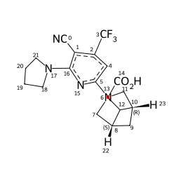 N#Cc1c(C(F)(F)F)cc(N2C[C@H]3C[C@@H](C2)C3CC(=O)O)nc1N1CCCC1